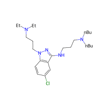 CCCCN(CCCC)CCCNc1nn(CCCN(CC)CC)c2ccc(Cl)cc12